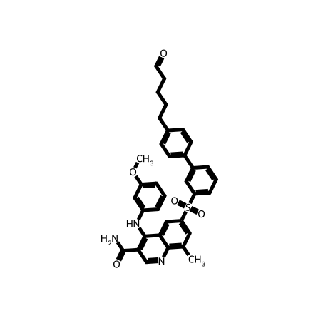 COc1cccc(Nc2c(C(N)=O)cnc3c(C)cc(S(=O)(=O)c4cccc(-c5ccc(CCCCC=O)cc5)c4)cc23)c1